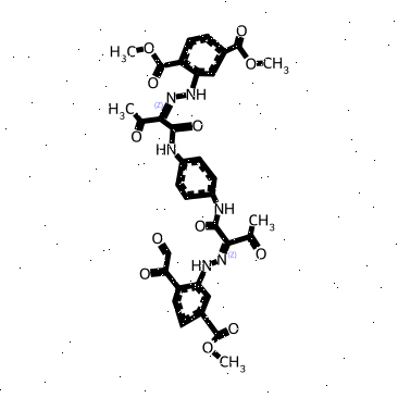 COC(=O)c1ccc(C(=O)C=O)c(N/N=C(/C(C)=O)C(=O)Nc2ccc(NC(=O)/C(=N\Nc3cc(C(=O)OC)ccc3C(=O)OC)C(C)=O)cc2)c1